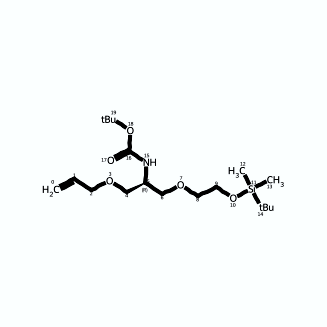 C=CCOC[C@H](COCCO[Si](C)(C)C(C)(C)C)NC(=O)OC(C)(C)C